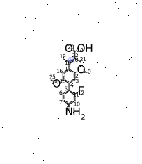 COc1cc(-c2ccc(N)cc2F)c(OC)cc1/C(C)=C(\C)C(=O)O